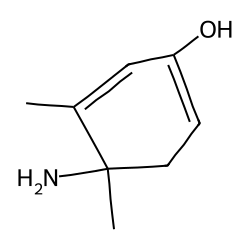 CC1=CC(O)=CCC1(C)N